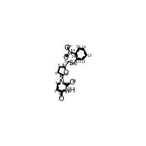 O=c1ccn([C@H]2CC[C@@H](C[Se]c3ccccc3[N+](=O)[O-])O2)c(=O)[nH]1